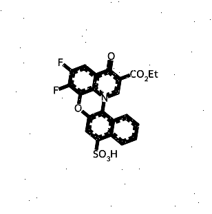 CCOC(=O)c1cn2c3c(c(F)c(F)cc3c1=O)Oc1cc(S(=O)(=O)O)c3ccccc3c1-2